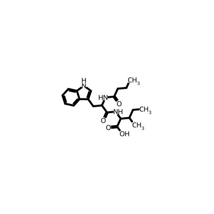 CCCC(=O)NC(Cc1c[nH]c2ccccc12)C(=O)NC(C(=O)O)C(C)CC